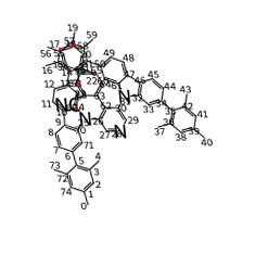 Cc1cc(C)c(-c2ccc3c4ccc(-c5c(C)cc(C)cc5C)cc4n(-c4cncc(-n5c6cc(-c7c(C)cc(C)cc7C)ccc6c6ccc(-c7c(C)cc(C)cc7C)cc65)c4-c4ccccc4C#N)c3c2)c(C)c1